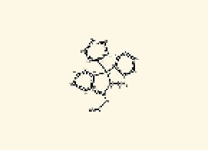 CSCC(=O)N(N)C(c1ccccc1)(c1ccccc1)c1ccccc1